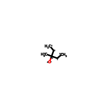 C[CH]C(C)([O])CC